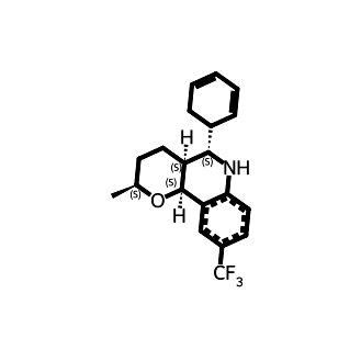 C[C@H]1CC[C@@H]2[C@H](O1)c1cc(C(F)(F)F)ccc1N[C@H]2C1C=CC=CC1